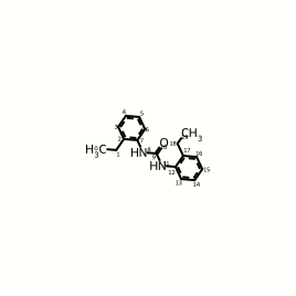 CCc1ccccc1NC(=O)Nc1ccccc1CC